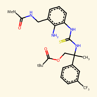 CNC(=O)NCc1cccc(NC(=S)NC(C)(COC(=O)C(C)(C)C)c2cccc(C(F)(F)F)c2)c1N